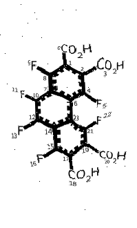 O=C(O)c1c(C(=O)O)c(F)c2c(c1F)c(F)c(F)c1c(F)c(C(=O)O)c(C(=O)O)c(F)c12